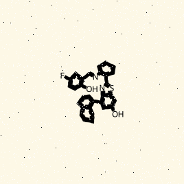 Oc1cc(-c2cccc3ccccc23)c2nc(-c3ccccc3/N=C/c3cc(F)ccc3O)sc2c1